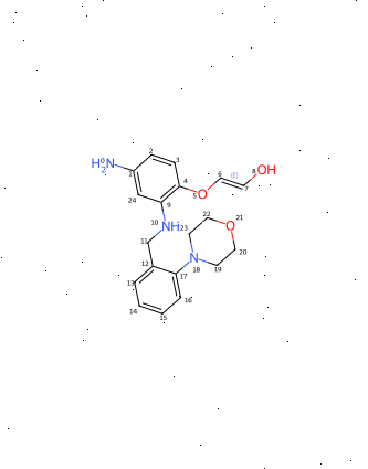 Nc1ccc(O/C=C/O)c(NCc2ccccc2N2CCOCC2)c1